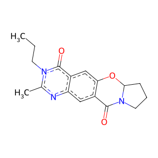 CCCn1c(C)nc2cc3c(cc2c1=O)OC1CCCN1C3=O